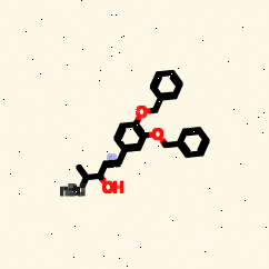 CCCCC(C)C(O)/C=C/c1ccc(OCc2ccccc2)c(OCc2ccccc2)c1